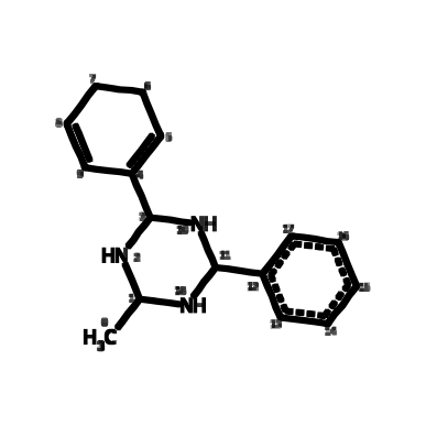 CC1NC(C2=CCCC=C2)NC(c2ccccc2)N1